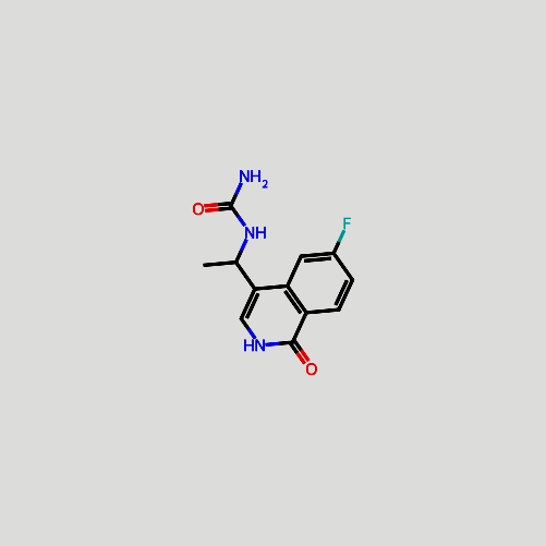 CC(NC(N)=O)c1c[nH]c(=O)c2ccc(F)cc12